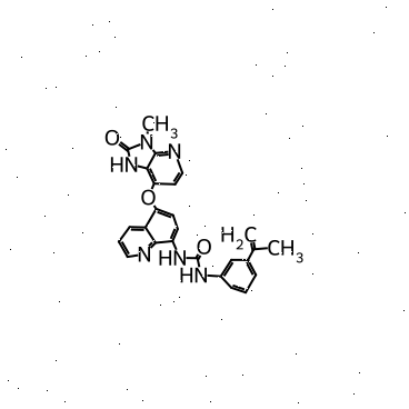 C=C(C)c1cccc(NC(=O)Nc2ccc(Oc3ccnc4c3[nH]c(=O)n4C)c3cccnc23)c1